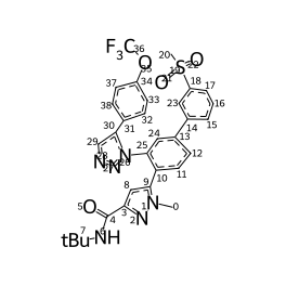 Cn1nc(C(=O)NC(C)(C)C)cc1-c1ccc(-c2cccc(S(C)(=O)=O)c2)cc1-n1nncc1-c1ccc(OC(F)(F)F)cc1